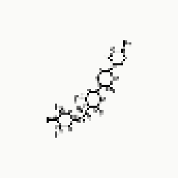 FC1CCC(C2CCC(C3CC(F)C(C(F)(F)OC4CC(F)C(F)C(F)C4)C(F)C3)C(F)C2)CC1